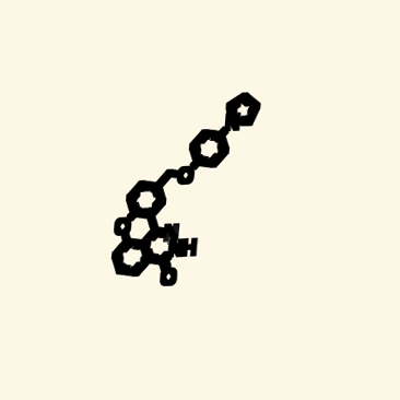 O=c1[nH]nc2c3c(cccc13)Oc1ccc(COc3ccc(-n4cccc4)cc3)cc1-2